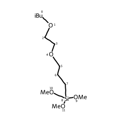 CCC(C)OCCOCCC[Si](OC)(OC)OC